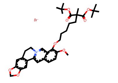 COc1ccc2cc3[n+](cc2c1OCCCCCC(C)(C(=O)OC(C)(C)C)C(=O)OC(C)(C)C)CCc1cc2c(cc1-3)OCO2.[Br-]